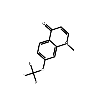 Cn1c[c]c(=O)c2ccc(OC(F)(F)F)cc21